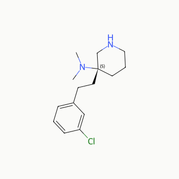 CN(C)[C@@]1(CCc2cccc(Cl)c2)CCCNC1